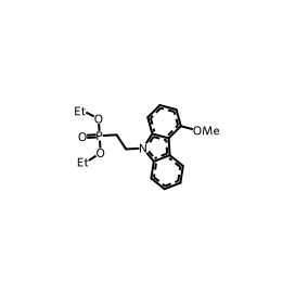 CCOP(=O)(CCn1c2ccccc2c2c(OC)cccc21)OCC